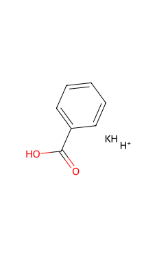 O=C(O)c1ccccc1.[H+].[KH]